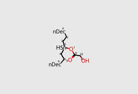 CCCCCCCCCCC[CH2][SnH]([CH2]CCCCCCCCCCC)[O]C(=O)CO